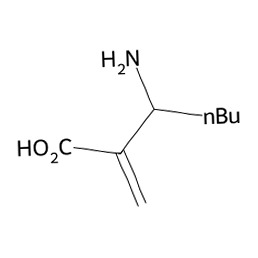 C=C(C(=O)O)C(N)CCCC